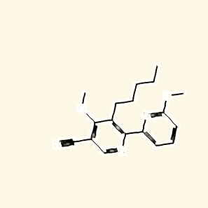 CCCCCc1c(-c2cccc(OC)n2)ncc(C#N)c1OC